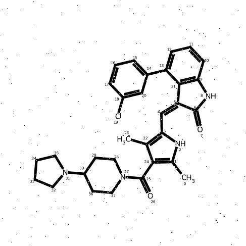 Cc1[nH]c(/C=C2\C(=O)Nc3cccc(-c4cccc(Cl)c4)c32)c(C)c1C(=O)N1CCC(N2CCCC2)CC1